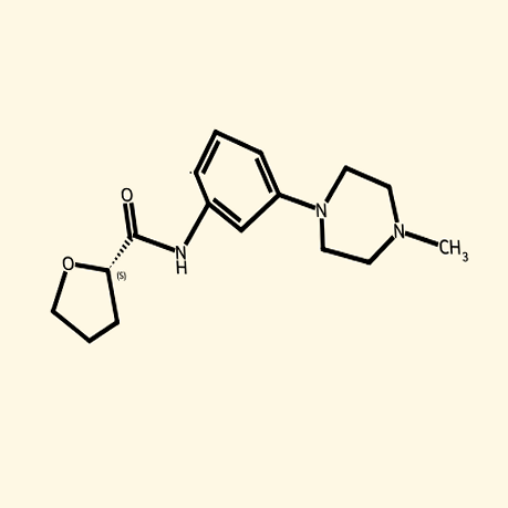 CN1CCN(c2cc[c]c(NC(=O)[C@@H]3CCCO3)c2)CC1